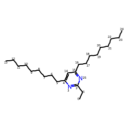 C[CH]c1nc(CCCCCCCCC)cc(CCCCCCCCC)n1